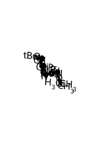 CC(C)[C@H]1CN(CC2CCCN2C(=O)OC(C)(C)C)C(=O)N1c1ccn2ncc(-c3ccc(-c4ncnn4COCC[Si](C)(C)C)c(F)c3)c2n1